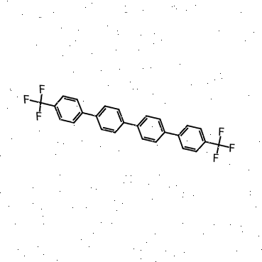 FC(F)(F)c1ccc(-c2ccc(-c3ccc(-c4ccc(C(F)(F)F)cc4)cc3)cc2)cc1